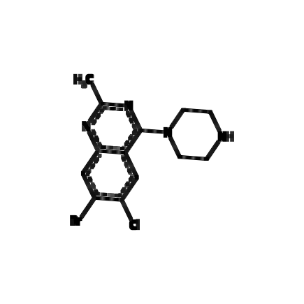 Cc1nc(N2CCNCC2)c2cc(Cl)c(Br)cc2n1